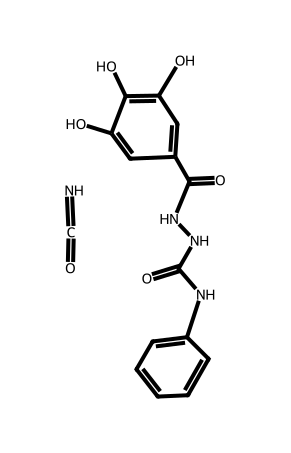 N=C=O.O=C(NNC(=O)c1cc(O)c(O)c(O)c1)Nc1ccccc1